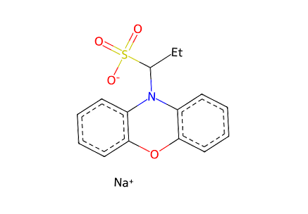 CCC(N1c2ccccc2Oc2ccccc21)S(=O)(=O)[O-].[Na+]